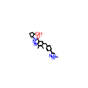 Cc1c(Cc2ccc(-c3cn(C)nn3)cc2)cc2c(=O)n([C@H]3CCC[C@@H]3O)nnc2c1C